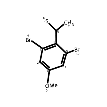 COc1cc(Br)c(C(C)[S])c(Br)c1